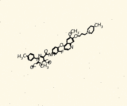 COc1cc2c(Oc3ccc(NC(=O)C4=NN(c5ccc(C)cc5)C(=C=O)N(C)C4=C=O)cc3F)ccnc2cc1OCCCN1CCC(C)CC1